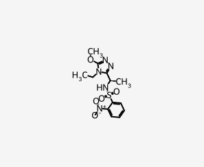 CCn1c(OC)nnc1[C@@H](C)NS(=O)(=O)c1ccccc1[N+](=O)[O-]